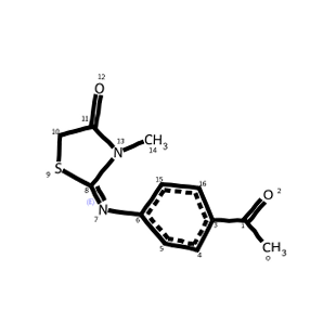 CC(=O)c1ccc(/N=C2/SCC(=O)N2C)cc1